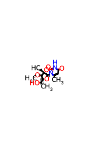 C#CC1(O)[C@@H](OC)[C@@H]([C@H](C)O)O[C@H]1n1c(C)cc(=O)[nH]c1=O